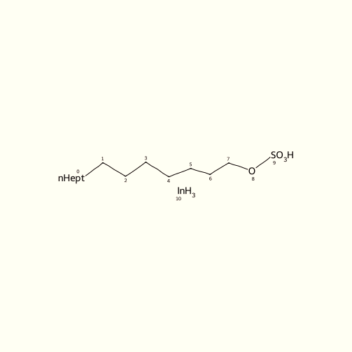 CCCCCCCCCCCCCCOS(=O)(=O)O.[InH3]